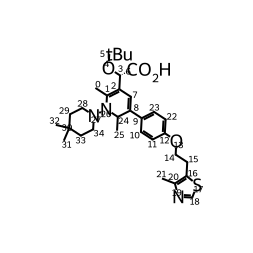 CC1=C([C@H](OC(C)(C)C)C(=O)O)C=C(c2ccc(OCCc3scnc3C)cc2)C(C)N1N1CCC(C)(C)CC1